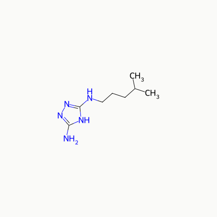 CC(C)CCCNc1nnc(N)[nH]1